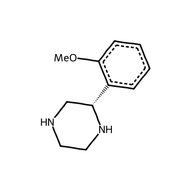 COc1ccccc1[C@H]1CNCCN1